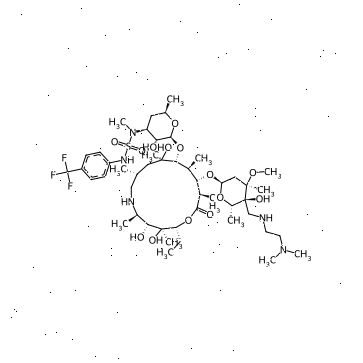 CC[C@H]1OC(=O)[C@H](C)[C@@H](O[C@H]2C[C@@](C)(OC)[C@](O)(CNCCN(C)C)[C@H](C)O2)[C@H](C)[C@@H](O[C@@H]2O[C@H](C)C[C@H](N(C)S(=O)(=O)Nc3ccc(C(F)(F)F)cc3)[C@H]2O)[C@](C)(O)C[C@@H](C)CN[C@H](C)[C@@H](O)[C@]1(C)O